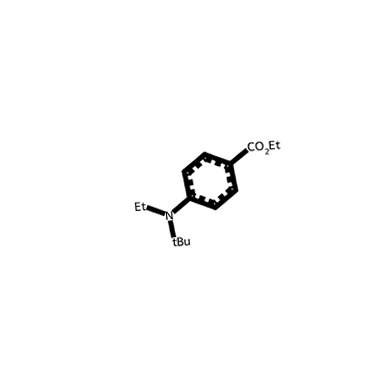 CCOC(=O)c1ccc(N(CC)C(C)(C)C)cc1